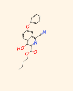 CCCCOC(=O)c1nc(C#N)c2cc(Oc3ccccc3)ccc2c1O